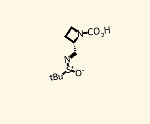 CC(C)(C)[S+]([O-])N=C[C@@H]1CCN1C(=O)O